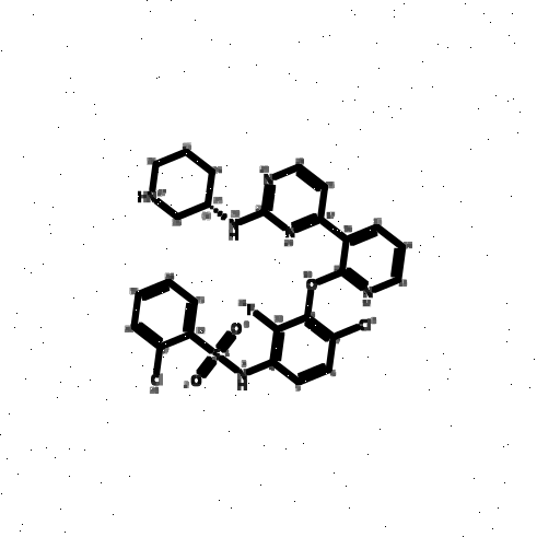 O=S(=O)(Nc1ccc(Cl)c(Oc2ncccc2-c2ccnc(N[C@H]3CCCNC3)n2)c1F)c1ccccc1Cl